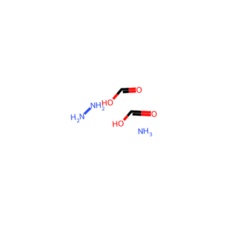 N.NN.O=CO.O=CO